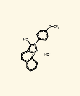 Oc1c2ccc3ccccc3[n+]2nn1-c1ccc(OC(F)(F)F)cc1.[OH-]